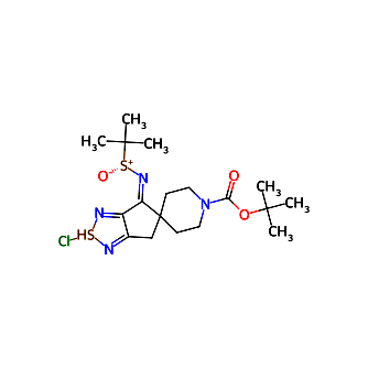 CC(C)(C)OC(=O)N1CCC2(CC1)CC1=N[SH](Cl)N=C1/C2=N\[S@+]([O-])C(C)(C)C